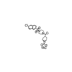 CC(C)(C)OC(=O)N1CCC(C(=O)N2CCN(S(=O)(=O)c3ccc4cc(Cl)ccc4c3)CC2)CC1